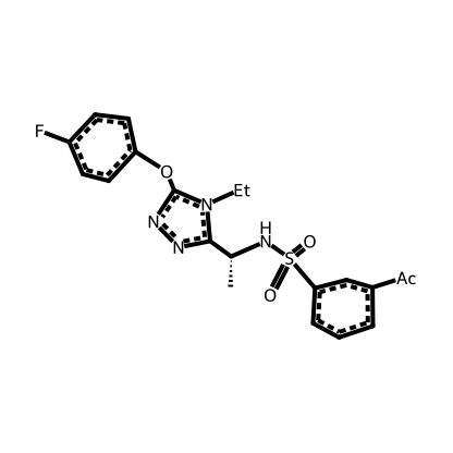 CCn1c(Oc2ccc(F)cc2)nnc1[C@@H](C)NS(=O)(=O)c1cccc(C(C)=O)c1